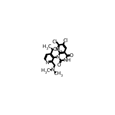 CC(C)c1ccnc(CN(C)C)c1-n1c(=O)[nH]c(=O)c2cc(Cl)c(Cl)nc21